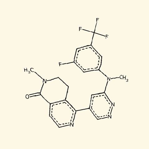 CN1CCc2c(ccnc2-c2cnnc(N(C)c3cc(F)cc(C(F)(F)F)c3)c2)C1=O